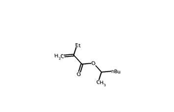 C=C(CC)C(=O)OC(C)CCCC